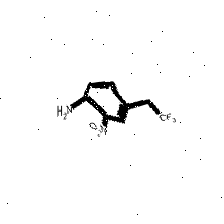 Nc1ccc(CC(F)(F)F)cc1[N+](=O)[O-]